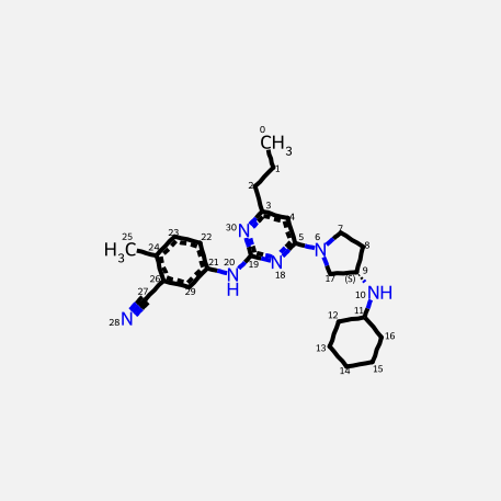 CCCc1cc(N2CC[C@H](NC3CCCCC3)C2)nc(Nc2ccc(C)c(C#N)c2)n1